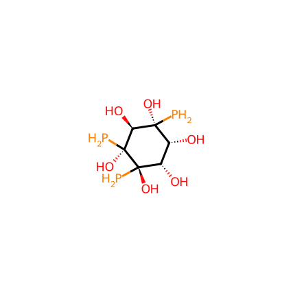 O[C@@H]1[C@H](O)[C@](O)(P)[C@@](O)(P)[C@@H](O)[C@@]1(O)P